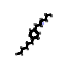 [CH2]CCCCCc1ccc(C/C=C/CCC)cc1